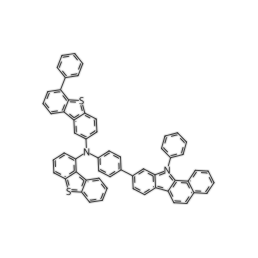 c1ccc(-c2cccc3c2sc2ccc(N(c4ccc(-c5ccc6c7ccc8ccccc8c7n(-c7ccccc7)c6c5)cc4)c4cccc5sc6ccccc6c45)cc23)cc1